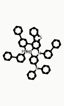 B1c2ccc(N(c3ccccc3)c3ccccc3)cc2N(c2cccc(-c3ccccc3)c2)c2cc3sc4ccccc4c3c(-c3cc(-c4ccccc4)ccc3Nc3cccc(-c4ccccc4)c3)c21